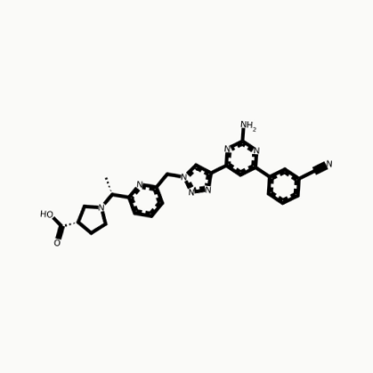 C[C@H](c1cccc(Cn2cc(-c3cc(-c4cccc(C#N)c4)nc(N)n3)nn2)n1)N1CC[C@H](C(=O)O)C1